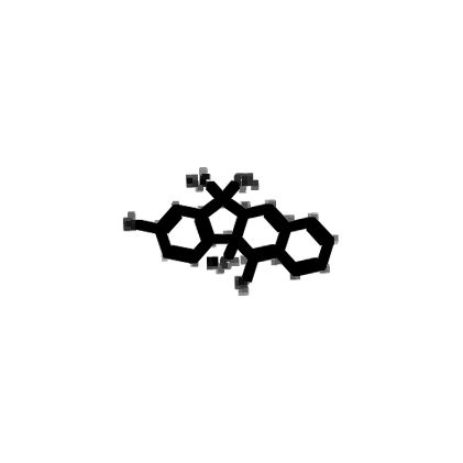 CC1(C)c2cc(Br)ccc2C2(C)C(Br)=c3ccccc3=CC12